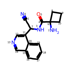 N#CC(NC(=O)C1(N)CCC1)c1cncc2ccccc12